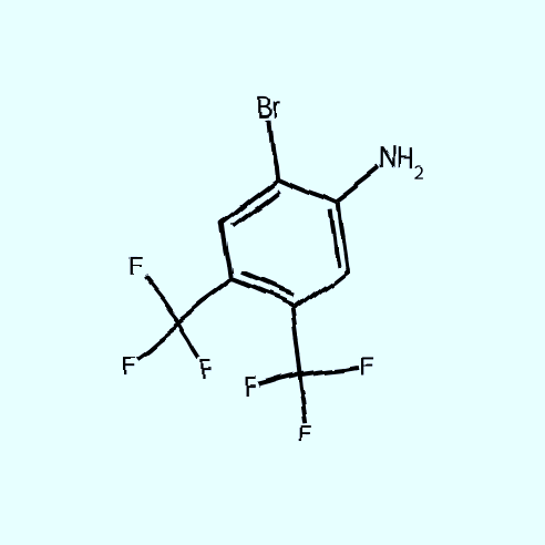 Nc1cc(C(F)(F)F)c(C(F)(F)F)cc1Br